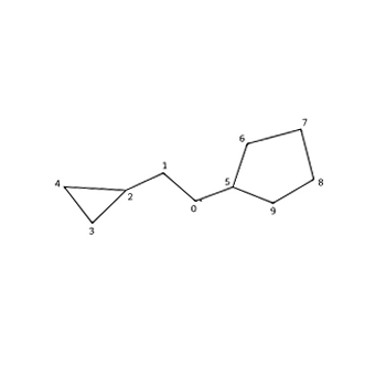 [CH](CC1CC1)C1CCCC1